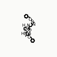 C[C@@H](NC(=O)[C@@H]1CCCN1C(=O)[C@@H](N)Cc1cn(COCc2ccccc2)cn1)C(=O)OCc1ccccc1